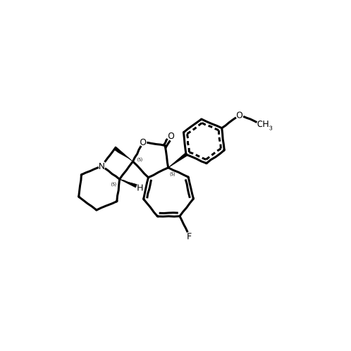 COc1ccc([C@@]23C=CC(F)=CC=C2[C@@]2(CN4CCCC[C@H]42)OC3=O)cc1